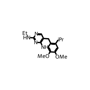 CCNc1ncc(Cc2cc(OC)c(OC)cc2C(C)C)c(N)n1